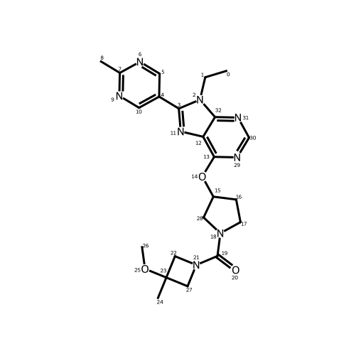 CCn1c(-c2cnc(C)nc2)nc2c(OC3CCN(C(=O)N4CC(C)(OC)C4)C3)ncnc21